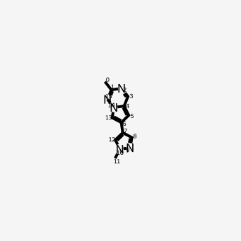 Cc1ncc2cc(-c3cnn(C)c3)cn2n1